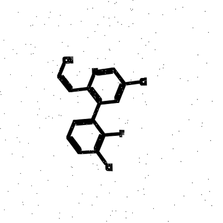 N#C/C=C\c1ncc(Cl)cc1-c1cccc(Cl)c1F